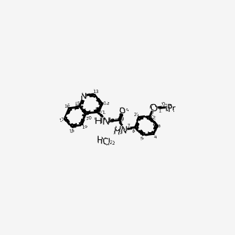 CC(C)Oc1cccc(NC(=O)Nc2ccnc3ccccc23)c1.Cl